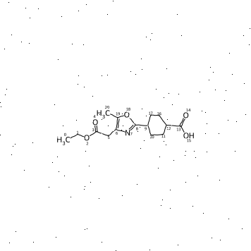 CCOC(=O)Cc1nc(C2CCC(C(=O)O)CC2)oc1C